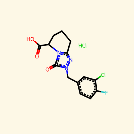 Cl.O=C(O)C1CCCc2nn(Cc3ccc(F)c(Cl)c3)c(=O)n21